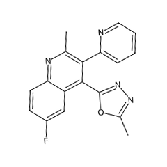 Cc1nnc(-c2c(-c3ccccn3)c(C)nc3ccc(F)cc23)o1